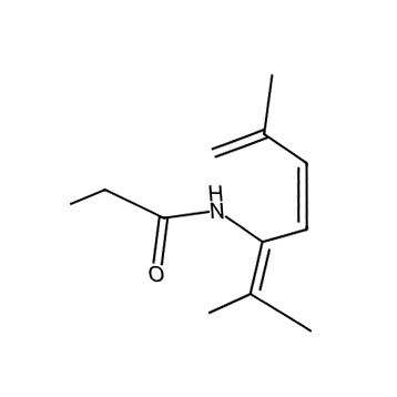 C=C(C)/C=C\C(NC(=O)CC)=C(C)C